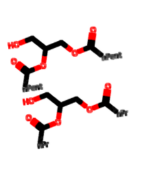 CCCC(=O)OCC(CO)OC(=O)CCC.CCCCCC(=O)OCC(CO)OC(=O)CCCCC